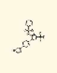 O=S(=O)(Nn1nc(C(F)(F)F)cc1-c1ccc(-c2cc[nH]c2)cc1)c1ccccc1